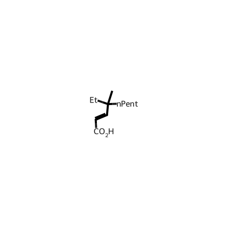 CCCCCC(C)(C=CC(=O)O)CC